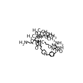 CCCCOc1nc(N)c2[nH]c(=O)n(Cc3ccc(CN4CCC(CCNC(=O)[C@H](CCCCN)NC(=O)[C@H](C)NC(=O)[C@@H](NC(=O)OC(C)(C)C)C(C)C)CC4)cc3)c2n1